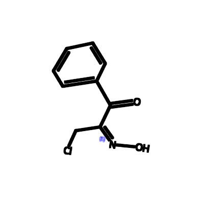 O=C(/C(CCl)=N\O)c1ccccc1